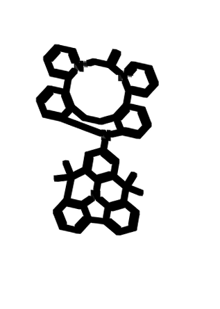 C=C1C[n+]2ccccc2-c2cccc3c2CCc2c(cccc2N3c2cc3c4c(c2)C(C)(C)c2cccc5c6cccc(c6n-4c25)C3(C)C)-c2cccc[n+]21